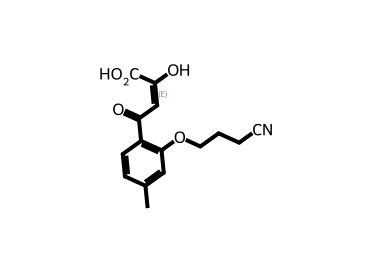 Cc1ccc(C(=O)/C=C(/O)C(=O)O)c(OCCCC#N)c1